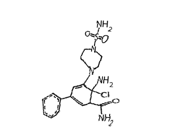 NC(=O)C1C=C(c2ccccc2)C=C(N2CCN(S(N)(=O)=O)CC2)C1(N)Cl